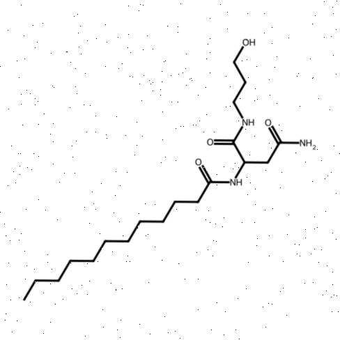 CCCCCCCCCCCC(=O)NC(CC(N)=O)C(=O)NCCCO